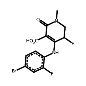 CN1CC(F)C(Nc2ccc(Br)cc2F)=C(C(=O)O)C1=O